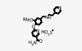 COc1cc(CNCCc2ccncc2)ccc1Oc1ccc(C(N)=O)cn1.CS(=O)(=O)O